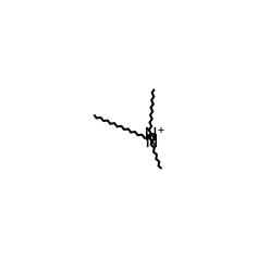 CCCCCCCCCCCCCCCCc1n(CCCCCCCC)cc[n+]1CCCCCCCCCCCC